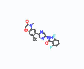 CCc1cc2c(cc1-c1cnc(NC(=O)c3c(F)cccc3F)cn1)N(C)C(=O)CO2